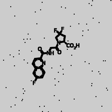 O=C(NCC(=O)N1CC(F)(F)C[C@H]1C(=O)O)c1ccc2cc(F)ccc2n1